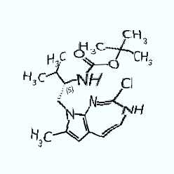 Cc1cc2c(n1C[C@@H](NC(=O)OC(C)(C)C)C(C)C)N=C(Cl)NC=C2